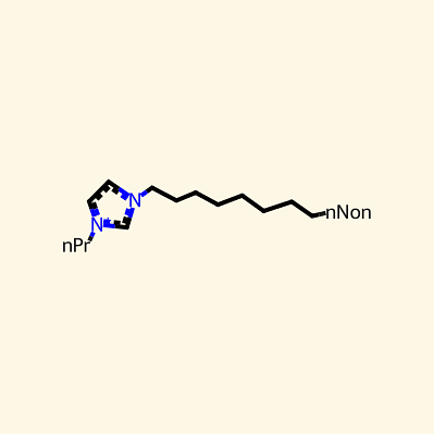 CCCCCCCCCCCCCCCCCn1cc[n+](CCC)c1